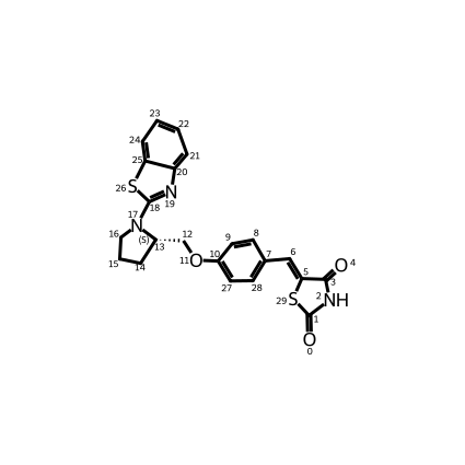 O=C1NC(=O)C(=Cc2ccc(OC[C@@H]3CCCN3c3nc4ccccc4s3)cc2)S1